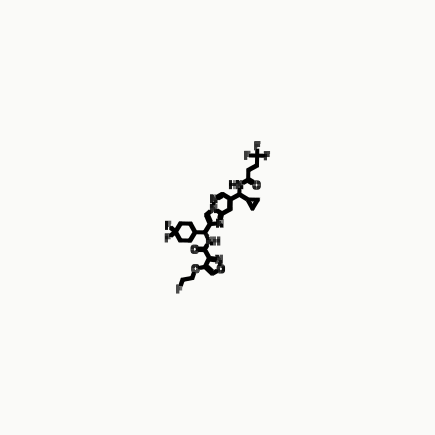 O=C(CCC(F)(F)F)NC(c1cnn2cc([C@@H](NC(=O)c3nocc3OCCF)C3CCC(F)(F)CC3)nc2c1)C1CC1